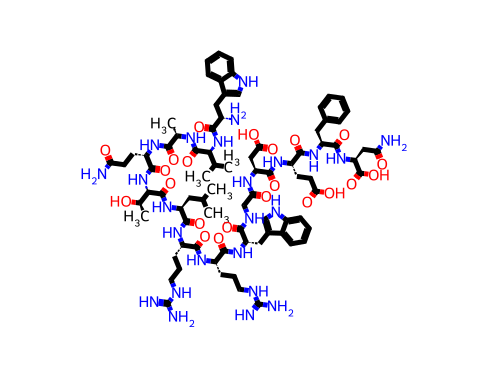 CC(C)C[C@H](NC(=O)[C@@H](NC(=O)[C@H](CCC(N)=O)NC(=O)[C@H](C)NC(=O)[C@@H](NC(=O)[C@@H](N)Cc1c[nH]c2ccccc12)C(C)C)[C@@H](C)O)C(=O)N[C@@H](CCCNC(=N)N)C(=O)N[C@@H](CCCNC(=N)N)C(=O)N[C@@H](Cc1c[nH]c2ccccc12)C(=O)NCC(=O)N[C@@H](CC(=O)O)C(=O)N[C@@H](CCC(=O)O)C(=O)N[C@@H](Cc1ccccc1)C(=O)N[C@@H](CC(N)=O)C(=O)O